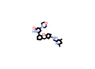 Cc1cc(C)nc(CNc2ccc3c(c2)Cc2cccc(-c4cc(N5CCOCC5)cc(=O)[nH]4)c2O3)c1